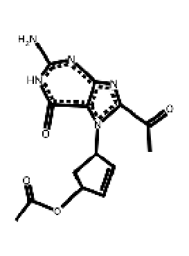 CC(=O)OC1C=CC(n2c(C(C)=O)nc3nc(N)[nH]c(=O)c32)C1